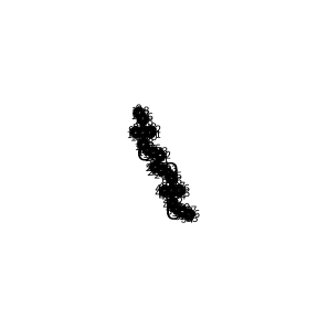 c1ccc2cc(-c3c4ccccc4c(-c4ccc5oc6cc7c(-c8cccc9cc%10c(cc89)oc8ccc(-c9c%11ccccc%11c(-c%11ccc%12oc%13cc%14ccccc%14cc%13c%12c%11)c%11ccccc9%11)cc8%10)cccc7cc6c5c4)c4ccccc34)ccc2c1